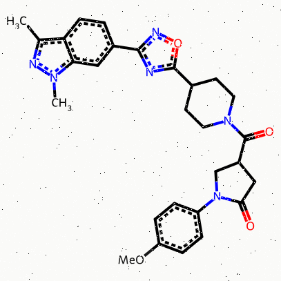 COc1ccc(N2CC(C(=O)N3CCC(c4nc(-c5ccc6c(C)nn(C)c6c5)no4)CC3)CC2=O)cc1